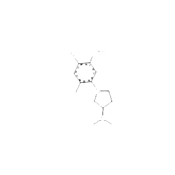 COc1cc(N2CCC(N(C)C)C2)c(C)cc1N